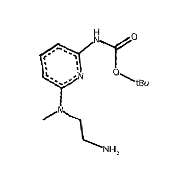 CN(CCN)c1cccc(NC(=O)OC(C)(C)C)n1